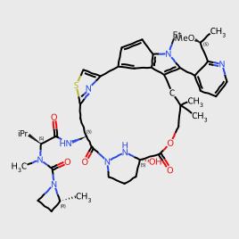 CCn1c(-c2cccnc2[C@H](C)OC)c2c3cc(ccc31)-c1csc(n1)C[C@H](NC(=O)[C@H](C(C)C)N(C)C(=O)N1CC[C@H]1C)C(=O)N1CCC[C@@](O)(N1)C(=O)OCC(C)(C)C2